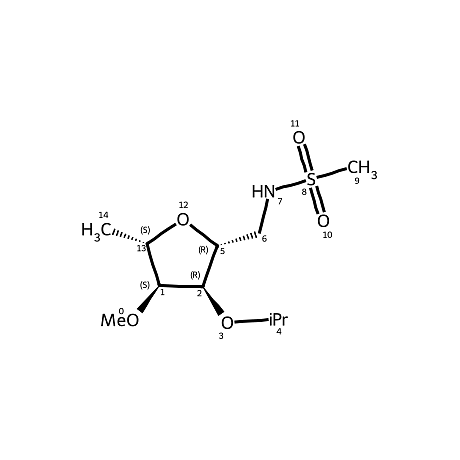 CO[C@@H]1[C@H](OC(C)C)[C@@H](CNS(C)(=O)=O)O[C@H]1C